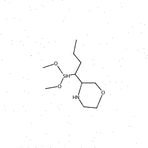 CCCC(C1COCCN1)[SiH](OC)OC